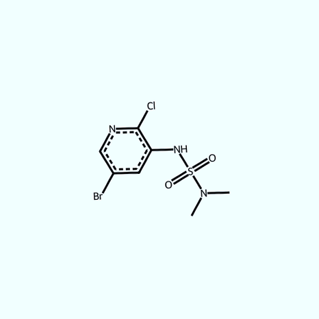 CN(C)S(=O)(=O)Nc1cc(Br)cnc1Cl